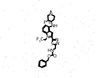 CN1CC[C@@H](Nc2cccc3c2cc(-c2nnc(CNC(=O)OCc4ccccc4)s2)n3CC(F)(F)F)[C@@H](F)C1